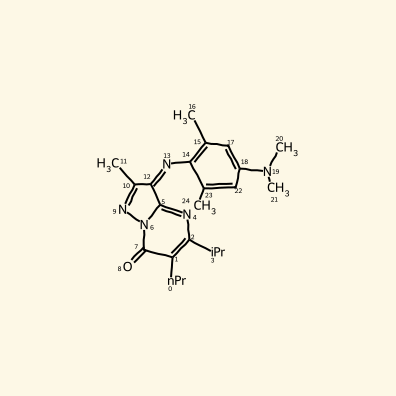 CCCc1c(C(C)C)nc2n(c1=O)N=C(C)C2=Nc1c(C)cc(N(C)C)cc1C